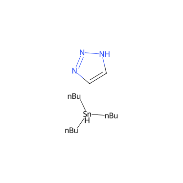 CCC[CH2][SnH]([CH2]CCC)[CH2]CCC.c1c[nH]nn1